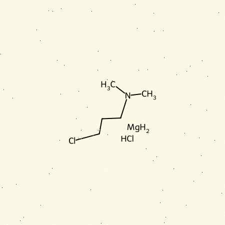 CN(C)CCCCl.Cl.[MgH2]